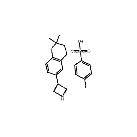 CC1(C)CCc2cc(C3CNC3)ccc2O1.Cc1ccc(S(=O)(=O)O)cc1